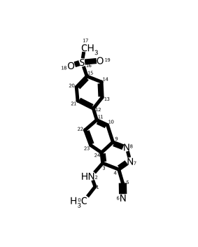 CCNc1c(C#N)nnc2cc(-c3ccc(S(C)(=O)=O)cc3)ccc12